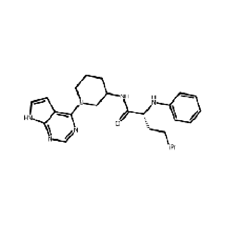 CC(C)CC[C@@H](Nc1ccccc1)C(=O)NC1CCCN(c2ncnc3[nH]ccc23)C1